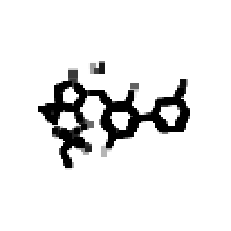 CCS(=O)(=O)N[C@@H]1[C@H](Cc2cc(F)cc(-c3cccc(F)c3)c2F)NCC12CC2.Cl